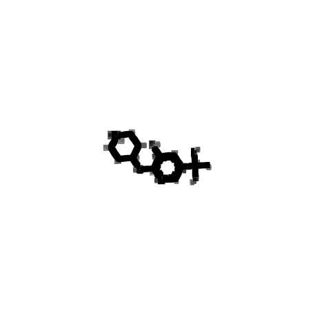 CC(F)(F)c1cnc(OC2CCNCC2)c(F)c1